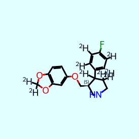 [2H]c1c([2H])c(C2([2H])[C@H](COc3ccc4c(c3)OC([2H])([2H])O4)CNCC2([2H])[2H])c([2H])c([2H])c1F